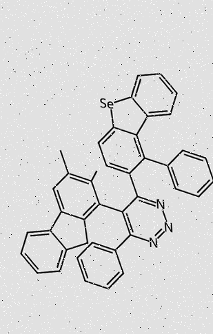 Cc1cc2c(c(-c3c(-c4ccccc4)nnnc3-c3ccc4[se]c5ccccc5c4c3-c3ccccc3)c1C)Cc1ccccc1-2